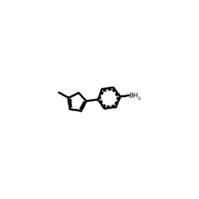 Bc1ccc(C2=CC=C(C)C2)cc1